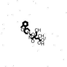 C#CCC1(CC(=C)C(=O)O)OC(N2CCC3(CC2)OCc2ccccc23)=NC1=O